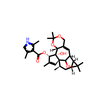 CC1=C[C@]23C(O)[C@@H](C=C4COC(C)(C)O[C@H]4[C@]2(O)[C@H]1OC(=O)c1c(C)c[nH]c1C)[C@H]1[C@@H](C[C@H]3C)C1(C)C